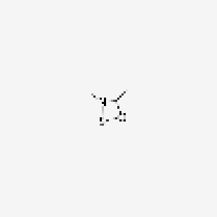 CC1OSN1C